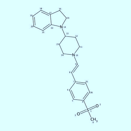 CS(=O)(=O)c1ccc(C=CN2CCC(N3CCc4ccccc43)CC2)cc1